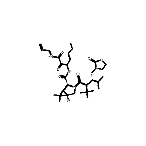 C=CCNC(=O)C(=O)C(CCCC)NC(=O)[C@@H]1C2[C@H](CN1C(=O)C([C@H](CN1CCOC1=O)C(C)C)C(C)(C)C)C2(C)C